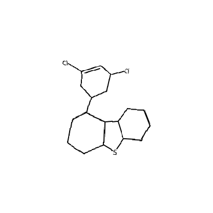 ClC1=CC(Cl)CC(C2CCCC3SC4CCCCC4C32)C1